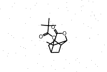 CC(C)(C)C(=O)OC1(C)C2CC3C(=O)OC1C3C2